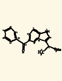 CNC(C)c1c[nH]c2cnc(C(=O)c3ccccc3)cc12